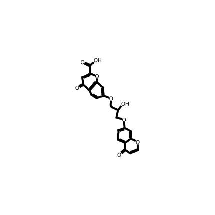 O=C(O)c1cc(=O)c2ccc(OCC(O)COc3ccc4c(=O)ccoc4c3)cc2o1